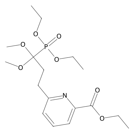 CCOC(=O)c1cccc(CCC(OC)(OC)P(=O)(OCC)OCC)n1